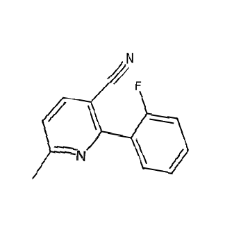 Cc1ccc(C#N)c(-c2ccccc2F)n1